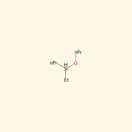 CCCO[SiH](CC)CCC